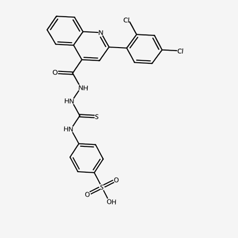 O=C(NNC(=S)Nc1ccc(S(=O)(=O)O)cc1)c1cc(-c2ccc(Cl)cc2Cl)nc2ccccc12